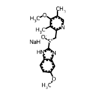 COc1ccc2[nH]c([S@@+]([O-])Cc3ncc(C)c(OC)c3C)nc2c1.[NaH]